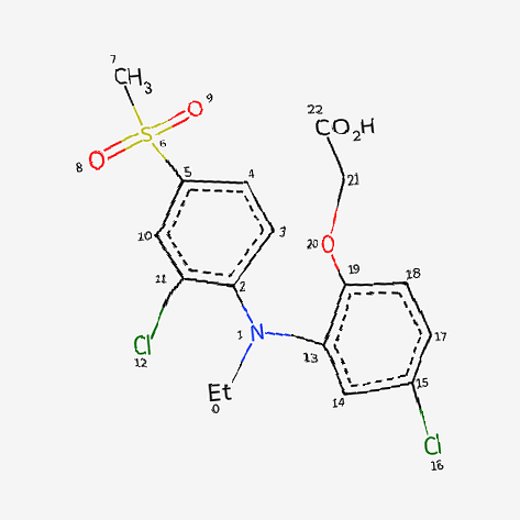 CCN(c1ccc(S(C)(=O)=O)cc1Cl)c1cc(Cl)ccc1OCC(=O)O